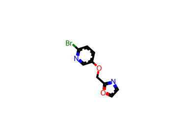 Brc1ccc(OCc2ncco2)cn1